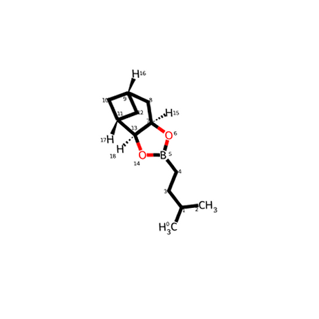 CC(C)CCB1O[C@@H]2C[C@H]3C[C@H](C3)[C@@H]2O1